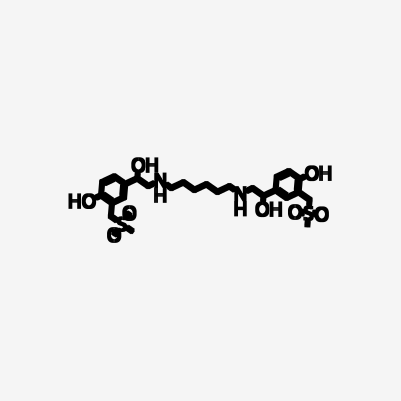 CS(=O)(=O)Cc1cc(C(O)CNCCCCCCNCC(O)c2ccc(O)c(CS(C)(=O)=O)c2)ccc1O